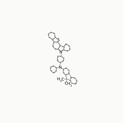 CC1(C)c2ccccc2-c2ccc(N(c3ccccc3)c3ccc(-n4c5ccccc5c5c6sc7ccccc7c6ccc54)cc3)cc21